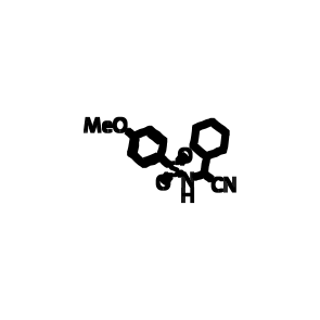 COc1ccc(S(=O)(=O)NC(C#N)C2CCCCC2)cc1